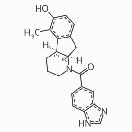 Cc1c(O)ccc2c1[C@@H]1CCCN(C(=O)c3ccc4[nH]cnc4c3)[C@@H]1C2